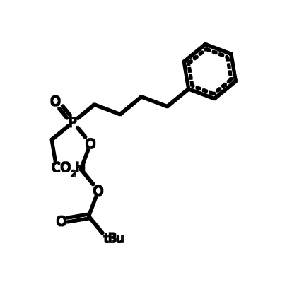 CC(C)(C)C(=O)OCOP(=O)(CCCCc1ccccc1)CC(=O)O